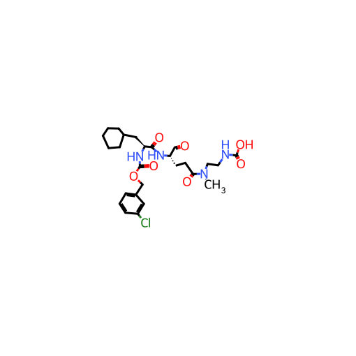 CN(CCNC(=O)O)C(=O)CC[C@@H](C=O)NC(=O)[C@H](CC1CCCCC1)NC(=O)OCc1cccc(Cl)c1